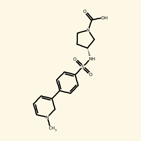 CN1C=CC=C(c2ccc(S(=O)(=O)N[C@@H]3CCN(C(=O)O)C3)cc2)C1